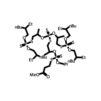 CCCCC(CC)COP(=S)(OCC(CC)CCCC)SCC(C)OP(=S)(OC(C)CSP(=S)(OCC(CC)CCCC)OCC(CC)CCCC)SCC(C)OP(=S)(OC(C)C)SCCC(=O)OC